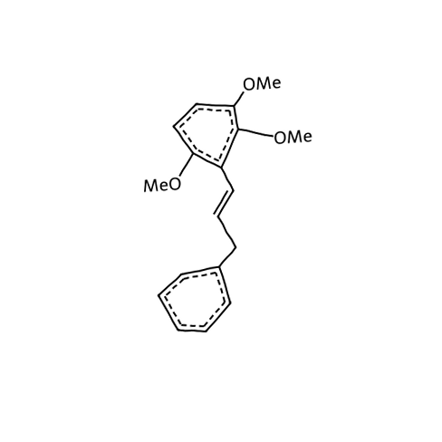 COc1ccc(OC)c(OC)c1C=CCc1ccccc1